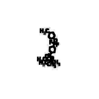 CC1CCC(OC(F)(F)C2CCC(B3OC(C)(C)C(C)(C)O3)CC2)CC1